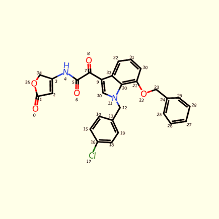 O=C1C=C(NC(=O)C(=O)c2cn(Cc3ccc(Cl)cc3)c3c(OCc4ccccc4)cccc23)CO1